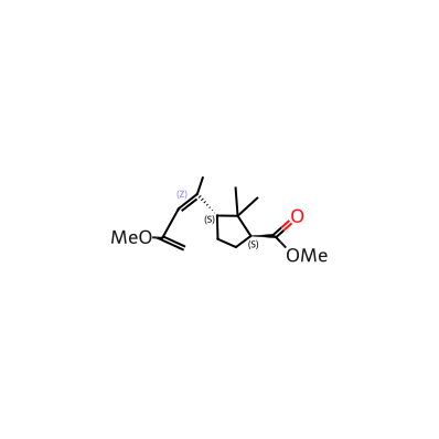 C=C(/C=C(/C)[C@H]1CC[C@H](C(=O)OC)C1(C)C)OC